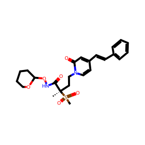 C[C@@](CCn1ccc(C=Cc2ccccc2)cc1=O)(C(=O)NOC1CCCCO1)S(C)(=O)=O